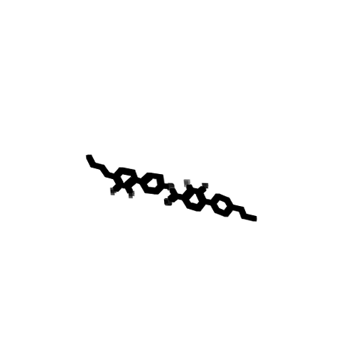 CCCCc1ccc(-c2ccc(OC(=O)c3ccc(C4CCC(CCC)CC4)c(F)c3F)cc2)c(F)c1F